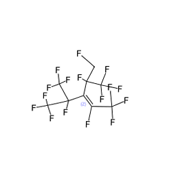 FCC(F)(/C(=C(/F)C(F)(F)F)C(F)(C(F)(F)F)C(F)(F)F)C(F)(F)F